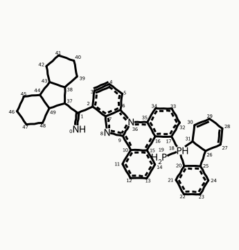 N=C(c1c#ccc2c1nc1c3ccccc3c3c([PH]4(P)c5ccccc5C5C=CC=CC54)cccc3n21)C1C2CCCCC2C2CCCCC21